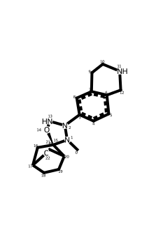 CN1N(c2ccc3c(c2)CCNC3)NO[C@@]12CC1CCC2CC1